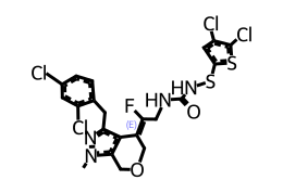 Cn1nc(Cc2ccc(Cl)cc2Cl)c2c1COC/C2=C(/F)CNC(=O)NSc1cc(Cl)c(Cl)s1